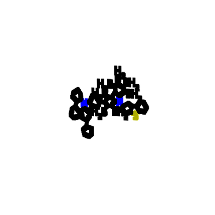 Bc1c(B)c(B)c2c(c1B)c1c(B)c(-c3ccc4c(c3)c3cc(-c5ccccc5)ccc3n4-c3ccccc3-c3ccccc3)c(B)c(B)c1n2-c1ccc2sc3ccccc3c2c1